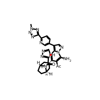 CC(=O)c1c([C@@H]2C[C@H]3CC[C@@H](C2)N3C(=O)c2nnc[nH]2)nc2c(-c3ccc(-c4nnn(C)n4)nc3)cnn2c1N